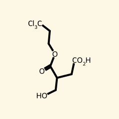 O=C(O)CC(CO)C(=O)OCCC(Cl)(Cl)Cl